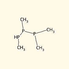 CPP(C)P(C)C